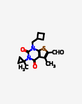 Cc1c(C=O)sc2c1c(=O)n(C1(C)CC1)c(=O)n2CC1CCC1